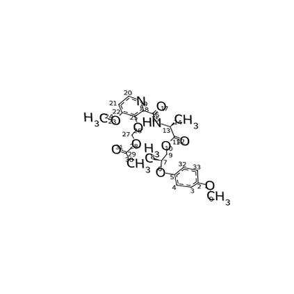 COc1ccc(O[C@@H](C)COC(=O)[C@H](C)NC(=O)c2nccc(OC)c2OCOC(C)=O)cc1